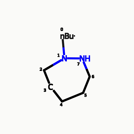 CCC[CH]N1CCCCCN1